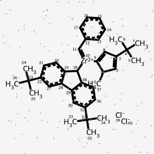 CC1C=C(C(C)(C)C)C=[C]1/[Zr+2](=[CH]\c1ccccc1)[CH]1c2ccc(C(C)(C)C)cc2-c2cc(C(C)(C)C)ccc21.[Cl-].[Cl-]